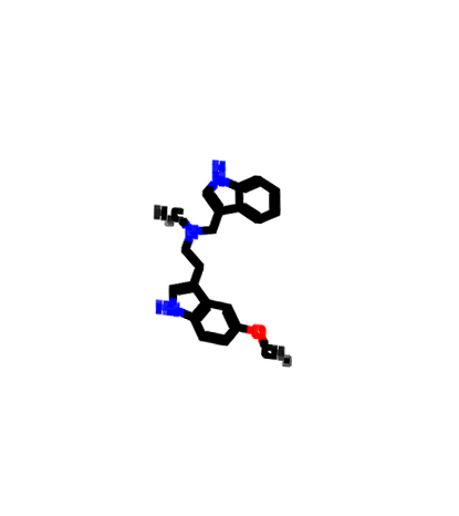 COc1ccc2[nH]cc(CCN(C)Cc3c[nH]c4ccccc34)c2c1